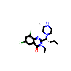 CCC[C@H](c1nc2c(F)cc(Cl)cc2c(=O)n1CC)N1CCN[C@@H](C)C1